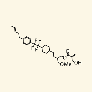 C=C(CO)C(=O)OCC(CCC1CCC(C(F)(F)C(F)(F)c2ccc(CC/C=C/C)cc2)CC1)COC